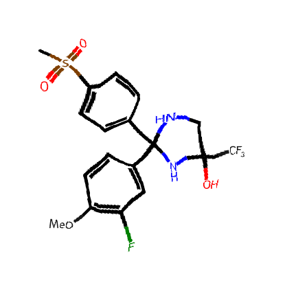 COc1ccc(C2(c3ccc(S(C)(=O)=O)cc3)NCC(O)(C(F)(F)F)N2)cc1F